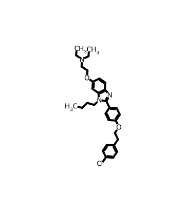 CCCCn1c(-c2ccc(OCCc3ccc(Cl)cc3)cc2)nc2ccc(OCCN(CC)CC)cc21